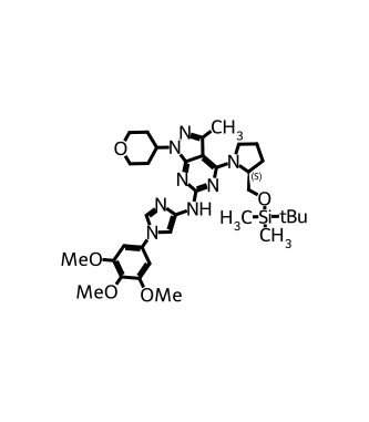 COc1cc(-n2cnc(Nc3nc(N4CCC[C@H]4CO[Si](C)(C)C(C)(C)C)c4c(C)nn(C5CCOCC5)c4n3)c2)cc(OC)c1OC